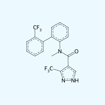 CN(C(=O)c1c[nH]nc1C(F)(F)F)c1ccccc1-c1ccccc1C(F)(F)F